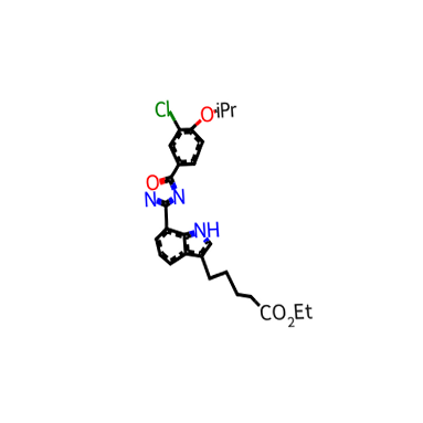 CCOC(=O)CCCCc1c[nH]c2c(-c3noc(-c4ccc(OC(C)C)c(Cl)c4)n3)cccc12